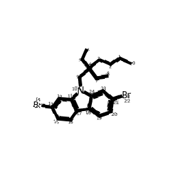 CCCCC(CC)(CC)Cn1c2cc(Br)ccc2c2ccc(Br)cc21